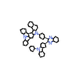 c1ccc(-n2c3ccccc3c3cc(-c4nc5ccccc5nc4-c4ccc(-n5c6ccc7ccccc7c6c6c7c8ccccc8n8c9ccccc9c(cc65)c78)cc4)ccc32)cc1